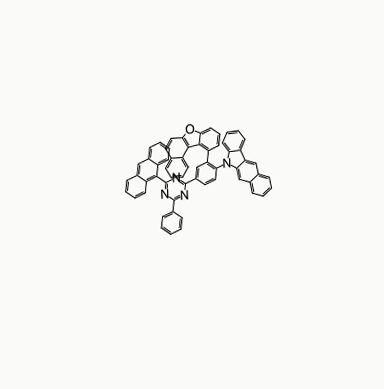 c1ccc(-c2nc(-c3ccc(-n4c5ccccc5c5cc6ccccc6cc54)c(-c4cccc5oc6ccc7ccccc7c6c45)c3)nc(-c3c4ccccc4cc4ccccc34)n2)cc1